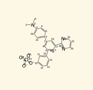 CN(C)c1ccc(-c2cc(-c3ccccc3)[s+]c(-c3ncccn3)c2)cc1.[O-][Cl+3]([O-])([O-])[O-]